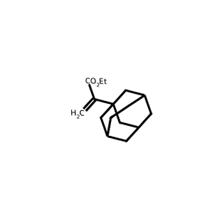 C=C(C(=O)OCC)C12CC3CC(CC(C3)C1)C2